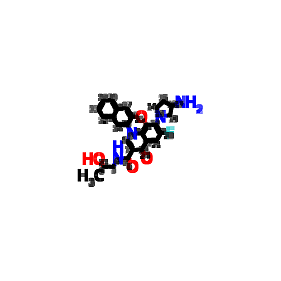 C[C@H](O)CNC(=O)c1cn2c3c(c(N4CCC(N)C4)c(F)cc3c1=O)Oc1cc3ccccc3cc1-2